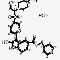 C=CC(N1CCN(C)CC1)S(=O)(=O)c1ccc(-c2c(O)[nH]c3ccc(C(=O)NCc4ccncc4)cc23)nc1.Cl